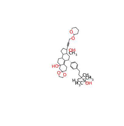 CC(C)(CCc1ccc([C@H]2C[C@@]3(C)C(CC[C@@]3(O)C#CCOC3CCCCO3)C3CC[C@@]4(O)CC5(CCC4=C32)OCCO5)cc1)[Si](C)(C)O